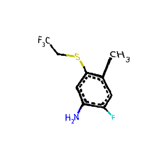 Cc1cc(F)c(N)cc1SCC(F)(F)F